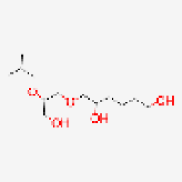 CC(C)COC(CO)COCC(O)CCCCO